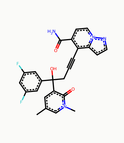 Cc1cc(C(O)(CC#Cc2c(C(N)=O)ccn3nccc23)c2cc(F)cc(F)c2)c(=O)n(C)c1